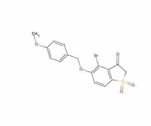 COc1ccc(COc2ccc3c(c2Br)C(=O)CS3(=O)=O)cc1